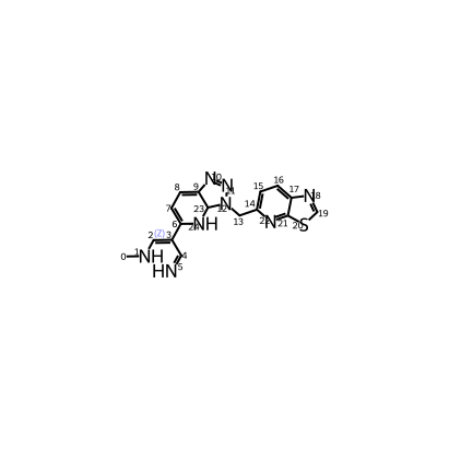 CN/C=C(\C=N)C1=CC=C2N=NN(Cc3ccc4ncsc4n3)C2N1